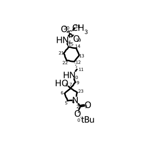 CC(C)(C)OC(=O)N1CCC(O)(CNC[C@H]2CC[C@H](NS(C)(=O)=O)CC2)C1